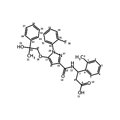 Cc1ccccc1C(CC(=O)O)NC(=O)c1cc(OCC(C)(O)c2ccccc2)n(-c2ccccc2F)n1